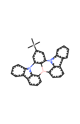 C[Si](C)(C)c1cc2c3c(c1)-n1c4ccccc4c4cccc(c41)B3c1cccc3c4ccccc4n-2c13